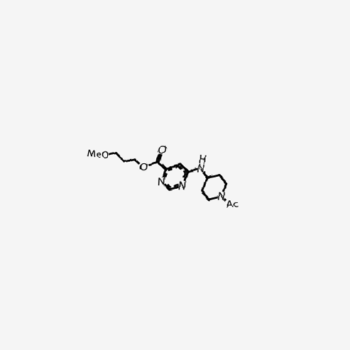 COCCCOC(=O)c1cc(NC2CCN(C(C)=O)CC2)ncn1